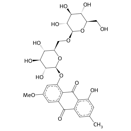 COc1cc(O[C@@H]2O[C@H](CO[C@@H]3O[C@H](CO)[C@@H](O)[C@H](O)[C@H]3O)[C@@H](O)[C@H](O)[C@H]2O)c2c(c1)C(=O)c1cc(C)cc(O)c1C2=O